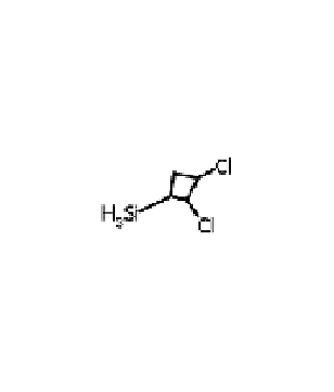 [SiH3]C1CC(Cl)C1Cl